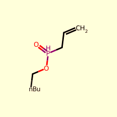 C=CC[PH](=O)OCCCCC